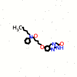 CCCCCCN(C(=O)CCCCOc1ccc2c(c1)CN1CC(=O)NC1=N2)c1ccccc1